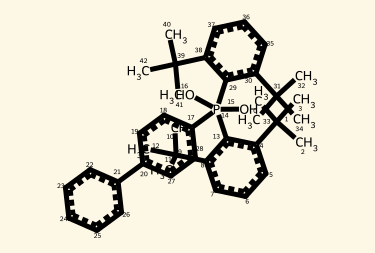 CC(C)(C)c1cccc(C(C)(C)C)c1P(O)(O)(c1ccc(-c2ccccc2)cc1)c1c(C(C)(C)C)cccc1C(C)(C)C